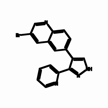 Brc1cnc2ccc(-c3c[nH]nc3-c3ccccn3)cc2c1